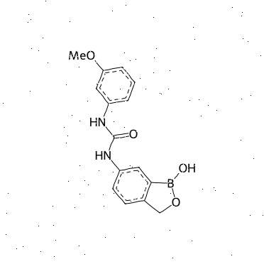 COc1cccc(NC(=O)Nc2ccc3c(c2)B(O)OC3)c1